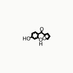 O=C(c1ccco1)c1ccc(O)cc1O